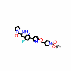 CC(C)OC(=O)N1CCC(COc2ccc(-c3ccc(C[C@H](N)C(=O)N4CCCC4)c(F)c3)cn2)CC1